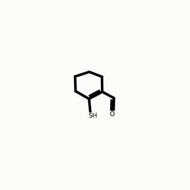 O=CC1=C(S)CCCC1